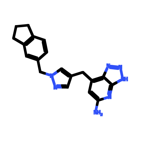 Nc1cc(Cc2cnn(Cc3ccc4c(c3)CCC4)c2)c2nn[nH]c2n1